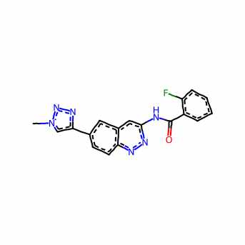 Cn1cc(-c2ccc3nnc(NC(=O)c4ccccc4F)cc3c2)nn1